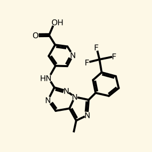 Cc1nc(-c2cccc(C(F)(F)F)c2)n2nc(Nc3cncc(C(=O)O)c3)ncc12